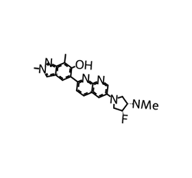 CN[C@H]1CN(c2cnc3nc(-c4cc5cn(C)nc5c(C)c4O)ccc3c2)C[C@H]1F